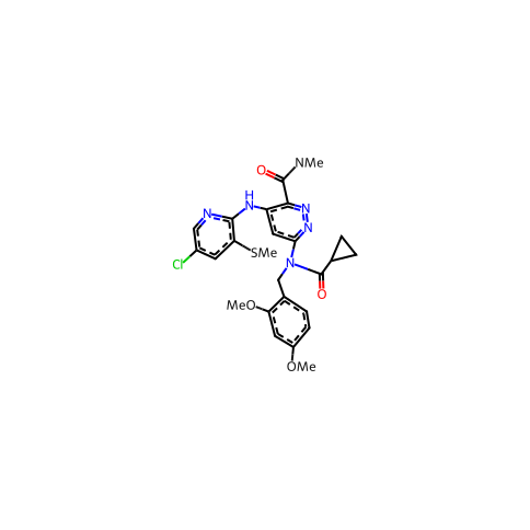 CNC(=O)c1nnc(N(Cc2ccc(OC)cc2OC)C(=O)C2CC2)cc1Nc1ncc(Cl)cc1SC